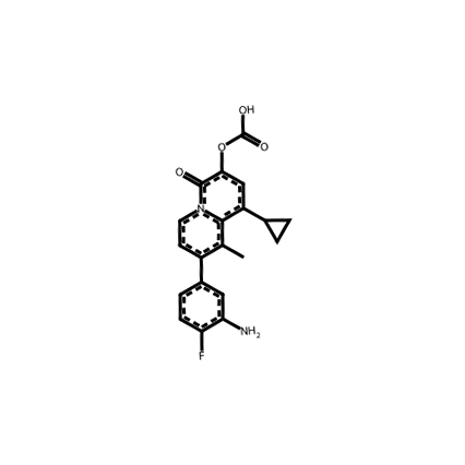 Cc1c(-c2ccc(F)c(N)c2)ccn2c(=O)c(OC(=O)O)cc(C3CC3)c12